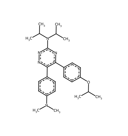 CC(C)Oc1ccc(-c2nc(N(C(C)C)C(C)C)nnc2-c2ccc(N(C)C)cc2)cc1